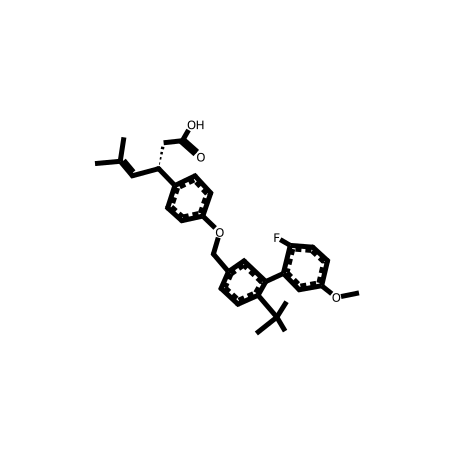 COc1ccc(F)c(-c2cc(COc3ccc([C@H](C=C(C)C)CC(=O)O)cc3)ccc2C(C)(C)C)c1